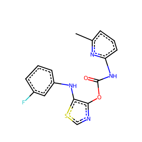 Cc1cccc(NC(=O)Oc2ncsc2Nc2cccc(F)c2)n1